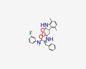 Cc1ccc(C)c2c1NC(=O)C2CC(=O)N[C@@H](Cc1ccccc1)C(=O)N(C)c1cccc(F)c1